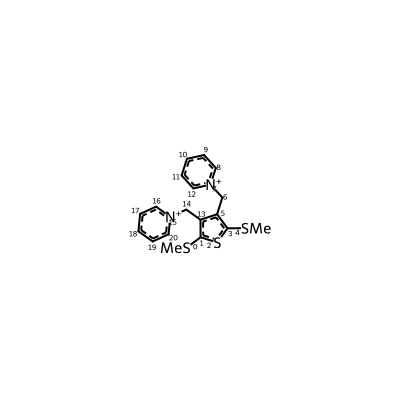 CSc1sc(SC)c(C[n+]2ccccc2)c1C[n+]1ccccc1